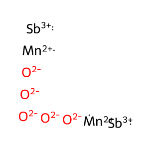 [Mn+2].[Mn+2].[O-2].[O-2].[O-2].[O-2].[O-2].[Sb+3].[Sb+3]